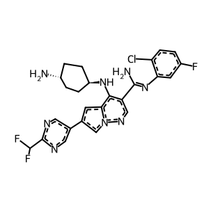 N/C(=N\c1cc(F)ccc1Cl)c1cnn2cc(-c3cnc(C(F)F)nc3)cc2c1N[C@H]1CC[C@H](N)CC1